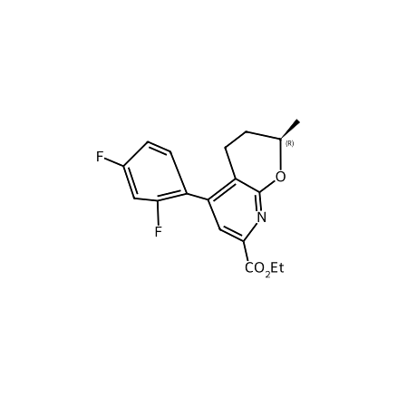 CCOC(=O)c1cc(-c2ccc(F)cc2F)c2c(n1)O[C@H](C)CC2